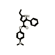 CCc1cc(C(=O)Oc2ccc(N(C)C)cc2)c(-c2ccccc2)[nH]1